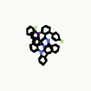 FC1C=CC(c2cccc(-n3c4ccccc4c4ccccc43)c2-c2cc(-c3c(C4=CCC(F)C=C4)cccc3-n3c4ccccc4c4ccccc43)nc(-c3ccccc3)n2)=CC1